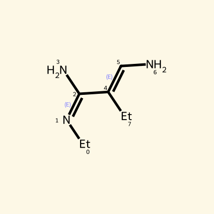 CC/N=C(N)\C(=C\N)CC